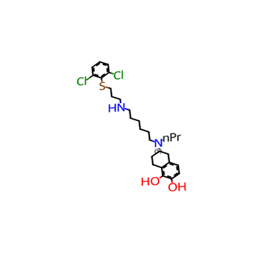 CCCN(CCCCCCNCCCSc1c(Cl)cccc1Cl)[C@H]1CCc2c(ccc(O)c2O)C1